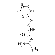 C/C(N)=C/C(=O)NCCN1CCOCC1